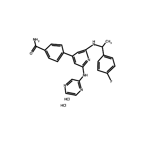 CC(Nc1cc(-c2ccc(C(N)=O)cc2)cc(Nc2cnccn2)n1)c1ccc(F)cc1.Cl.Cl